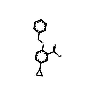 O=C(O)c1cc(C2CO2)ccc1OCc1ccccc1